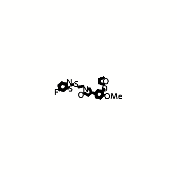 COc1ccc(C2CC(=O)N(CCSc3nc4ccc(F)cc4s3)C2)cc1OC1CCCO1